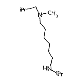 CC(C)CN(C)CCCCCCNC(C)C